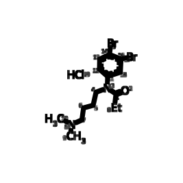 CCC(=O)N(CCCCN(C)C)c1ccc(Br)c(Br)c1.Cl